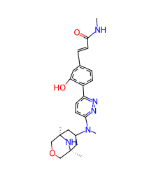 CNC(=O)/C=C/c1ccc(-c2ccc(N(C)C3C[C@]4(C)COC[C@](C)(C3)N4)nn2)c(O)c1